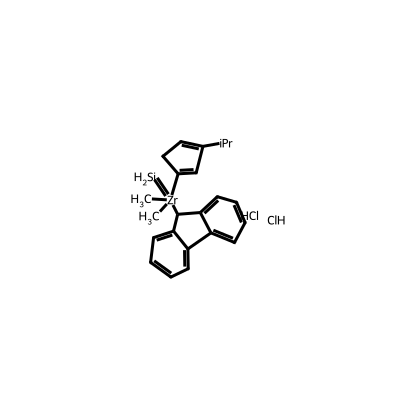 CC(C)C1=CC[C]([Zr]([CH3])([CH3])(=[SiH2])[CH]2c3ccccc3-c3ccccc32)=C1.Cl.Cl